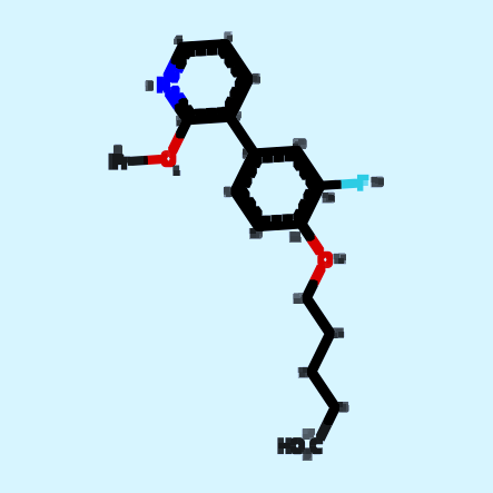 CC(C)Oc1ncccc1-c1ccc(OCCCCC(=O)O)c(F)c1